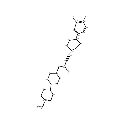 CCCCC[Si@H]1CC[C@H]([C@H]2CC[C@H](CC(O)C#C[C@H]3CC[C@H](c4ccc(F)c(F)c4)CC3)CC2)CC1